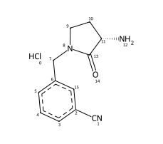 Cl.N#Cc1cccc(CN2CC[C@H](N)C2=O)c1